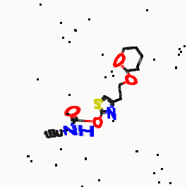 CC(C)(C)NC(=O)Oc1nc(CCOC2CCCCO2)cs1